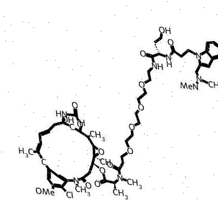 CNN(C)Cc1cc2ccccc2n1CCC(=O)N[C@@H](CCO)C(=O)NCCOCCOCCOCCOCCC(=O)N(C)[C@@H](C)C(=O)O[C@H]1CC(=O)N(C)c2cc(cc(OC)c2Cl)C/C(C)=C/C=C/C[C@@]2(O)C[C@H](OC(=O)N2)[C@@H](C)C2O[C@]21C